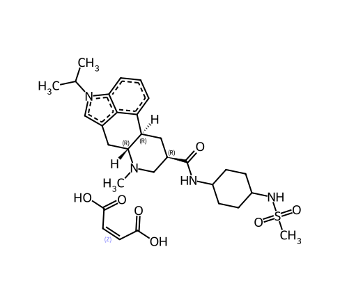 CC(C)n1cc2c3c(cccc31)[C@H]1C[C@@H](C(=O)NC3CCC(NS(C)(=O)=O)CC3)CN(C)[C@@H]1C2.O=C(O)/C=C\C(=O)O